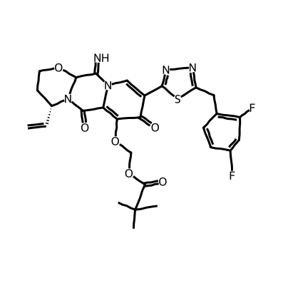 C=C[C@@H]1CCOC2C(=N)n3cc(-c4nnc(Cc5ccc(F)cc5F)s4)c(=O)c(OCOC(=O)C(C)(C)C)c3C(=O)N21